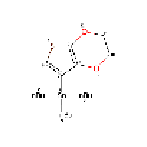 CCC[CH2][Sn]([CH2]CCC)([CH2]CCC)[c]1csc2c1OCCO2